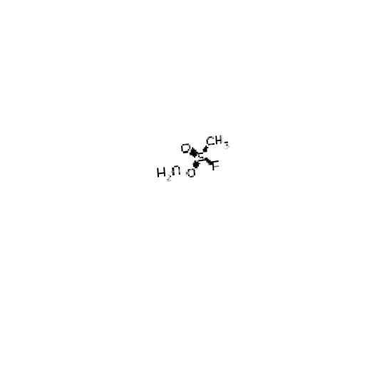 CS(=O)(=O)F.O